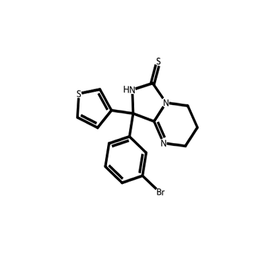 S=C1NC(c2ccsc2)(c2cccc(Br)c2)C2=NCCCN12